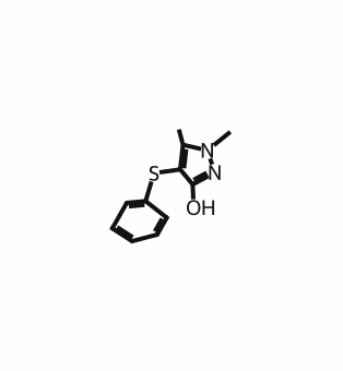 Cc1c(Sc2ccccc2)c(O)nn1C